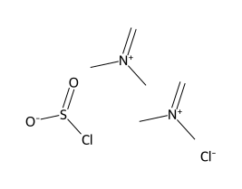 C=[N+](C)C.C=[N+](C)C.O=S([O-])Cl.[Cl-]